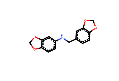 c1cc2c(cc1CNc1ccc3c(c1)OCO3)OCO2